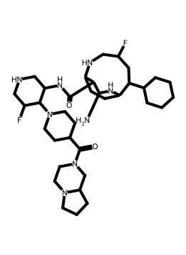 NC1NC2CCC(NCC(F)CC2C2CCCCC2)C1C(=O)NC1CNCC(F)C1N1CCC(C(=O)N2CCN3CCCC3C2)CC1